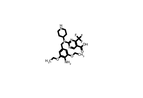 CCOc1cc(CN(c2ncc(C(=O)O)c(C(F)(F)F)n2)C2CCNCC2)cc(OCC)c1N